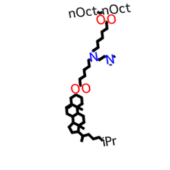 CCCCCCCCC(CCCCCCCC)OC(=O)CCCCCCN(CCCCCC(=O)OC1CCC2(C)C(=CCC3C2CCC2(C)C(C(C)CCCC(C)C)CCC32)C1)CCN(C)C